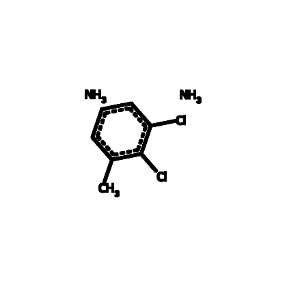 Cc1cccc(Cl)c1Cl.N.N